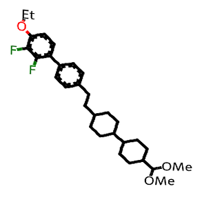 CCOc1ccc(-c2ccc(CCC3CCC(C4CCC(C(OC)OC)CC4)CC3)cc2)c(F)c1F